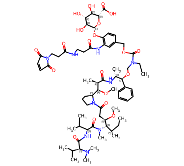 CC[C@H](C)[C@@H]([C@@H](CC(=O)N1CCC[C@H]1[C@H](OC)[C@@H](C)C(=O)N[C@H](C)[C@@H](OCN(CC)C(=O)OCc1ccc(O[C@H]2O[C@@H](C(=O)O)[C@H](O)[C@@H](O)[C@@H]2O)c(NC(=O)CCNC(=O)CCN2C(=O)C=CC2=O)c1)c1ccccc1)OC)N(C)C(=O)[C@@H](NC(=O)[C@H](C(C)C)N(C)C)C(C)C